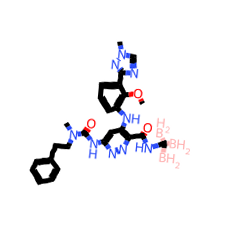 BC(B)(B)NC(=O)c1nnc(NC(=O)N(C)CCc2ccccc2)cc1Nc1cccc(-c2ncn(C)n2)c1OC